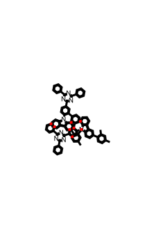 Cc1ccc(-c2ccc3c(c2)c2ccccc2n3-c2ccc(-c3nc(-c4ccccc4)nc(-c4ccccc4)n3)cc2-c2cccc(-c3cc(-c4nc(-c5ccccc5)nc(-c5ccccc5)n4)ccc3-n3c4ccccc4c4cc(-c5ccc(C)cc5C)ccc43)c2)c(C)c1